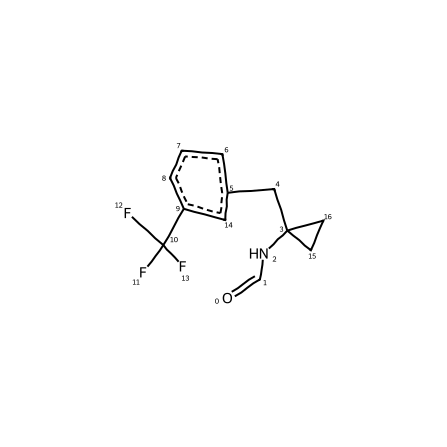 O=CNC1(Cc2cccc(C(F)(F)F)c2)CC1